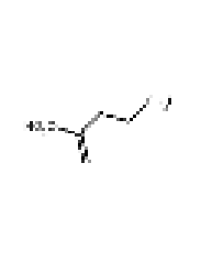 C=C(CCC(=O)O)C(=O)O